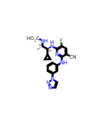 C[C@H](NC(=O)O)[C@@H](Nc1nc(Nc2cccc(-n3ccnn3)c2)c(C#N)cc1F)C1CC1